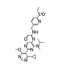 CC[S+]([O-])c1ccc(CN/C(C=O)=N/c2cnc(-c3c(OC)ncnc3C3CC3)nc2N(C)C(C)C)cn1